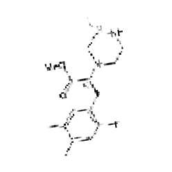 COC(=O)[C@H](Cc1cc(C)c(C)cc1F)N1CCN[C@@H](C)C1